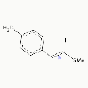 CS/C(I)=C/c1ccc(C)cc1